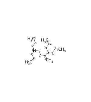 CCCN(CCC)CCC(C)N(CCC)CCC